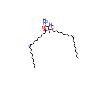 CCCCCCCC/C=C\CCCCCCCC(=O)C(C)(C(=O)CCCCCCC/C=C\CCCCCCCC)C(C(N)=O)N(C)C